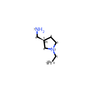 C[C](C)CN1CC[C@H](CN)C1